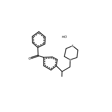 CC(CN1CCSCC1)c1ccc(C(=O)c2ccccc2)cc1.Cl